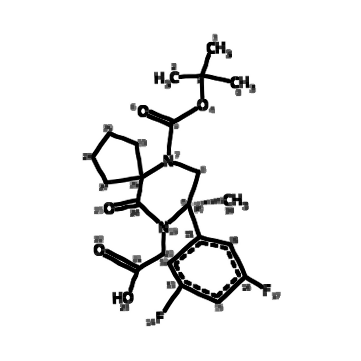 CC(C)(C)OC(=O)N1C[C@@](C)(c2cc(F)cc(F)c2)N(CC(=O)O)C(=O)C12CCCC2